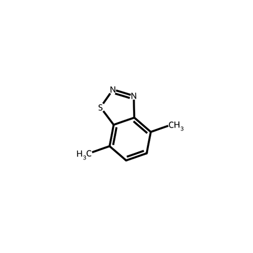 Cc1ccc(C)c2snnc12